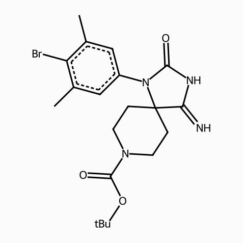 Cc1cc(N2C(=O)NC(=N)C23CCN(C(=O)OC(C)(C)C)CC3)cc(C)c1Br